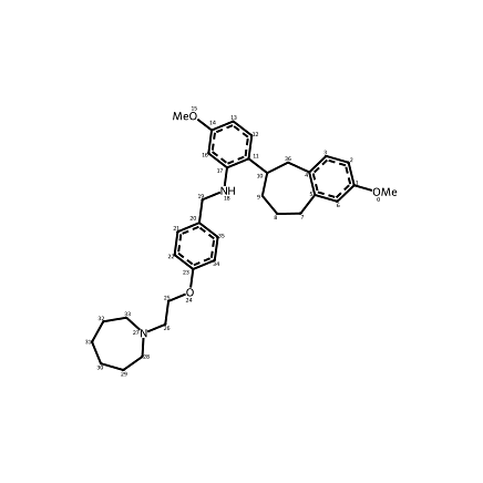 COc1ccc2c(c1)CCCC(c1ccc(OC)cc1NCc1ccc(OCCN3CCCCCC3)cc1)C2